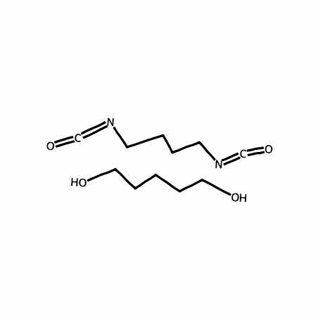 O=C=NCCCCN=C=O.OCCCCCO